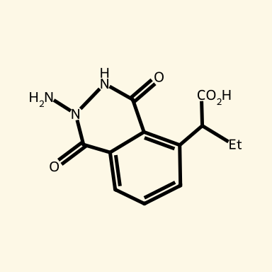 CCC(C(=O)O)c1cccc2c(=O)n(N)[nH]c(=O)c12